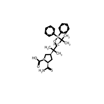 CC(C)(CO[Si](c1ccccc1)(c1ccccc1)C(C)(C)C)[C@H]1C[C@@H](C(N)=S)N(C(=O)O)C1